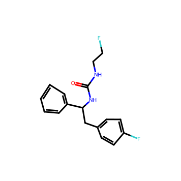 O=C(NCCF)NC(Cc1ccc(F)cc1)c1ccccc1